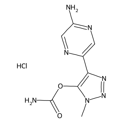 Cl.Cn1nnc(-c2cnc(N)cn2)c1OC(N)=O